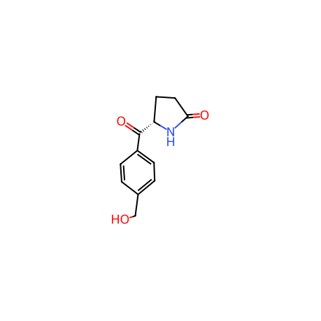 O=C1CC[C@@H](C(=O)c2ccc(CO)cc2)N1